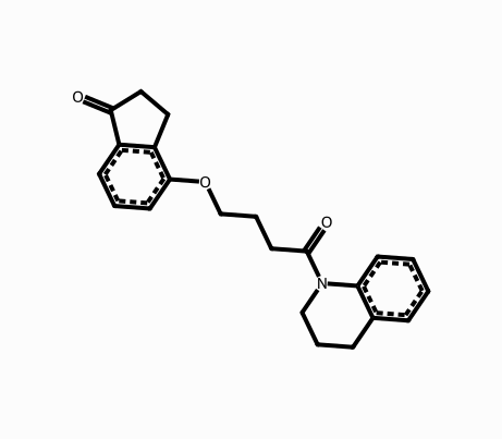 O=C1CCc2c(OCCCC(=O)N3CCCc4ccccc43)cccc21